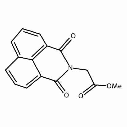 COC(=O)CN1C(=O)c2cccc3cccc(c23)C1=O